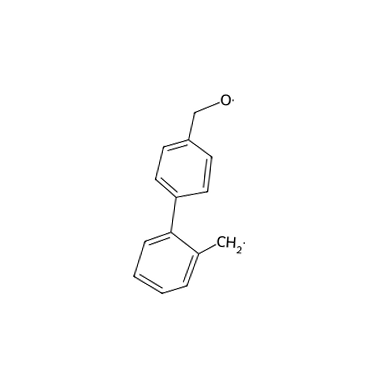 [CH2]c1ccccc1-c1ccc(C[O])cc1